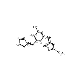 CCc1cc(Nc2cc(C)n[nH]2)nc(C[SH]2C=CC=C2)n1